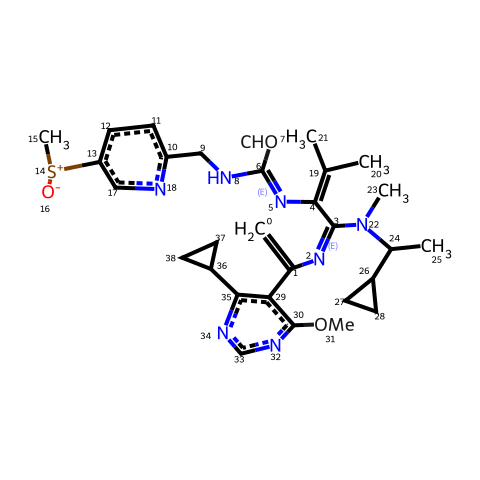 C=C(/N=C(\C(/N=C(\C=O)NCc1ccc([S+](C)[O-])cn1)=C(C)C)N(C)C(C)C1CC1)c1c(OC)ncnc1C1CC1